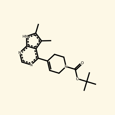 Cc1[nH]c2ncnc(C3=CCN(C(=O)OC(C)(C)C)CC3)c2c1C